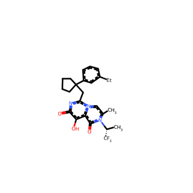 CCc1cccc(C2(Cc3nc(=O)c(O)c4c(=O)n([C@H](C)C(F)(F)F)c(C)cn34)CCCC2)c1